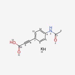 CC(=O)Nc1ccc(C#CC(=O)O)cc1.[KH]